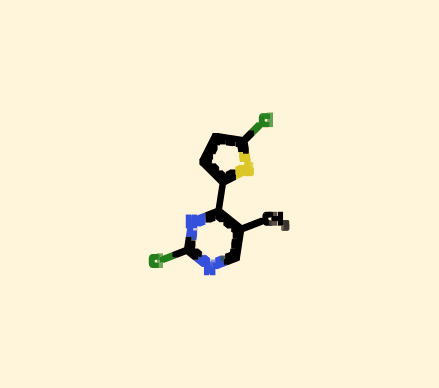 Cc1cnc(Cl)nc1-c1ccc(Cl)s1